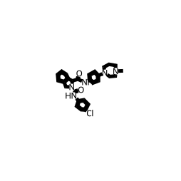 CN1CCCN(c2ccc(NC(=O)C3c4ccccc4CN3C(=O)Nc3ccc(Cl)cc3)cc2)CC1